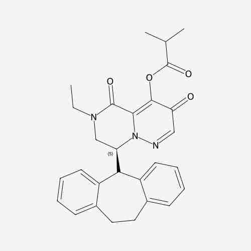 CCN1C[C@H](C2c3ccccc3CCc3ccccc32)n2ncc(=O)c(OC(=O)C(C)C)c2C1=O